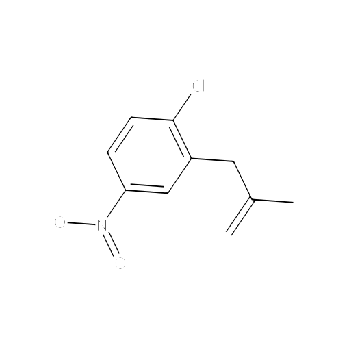 C=C(C)Cc1cc([N+](=O)[O-])ccc1Cl